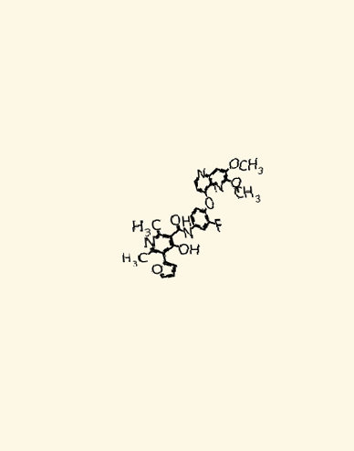 COc1cc2nccc(Oc3ccc(NC(=O)c4c(C)nc(C)c(-c5ccco5)c4O)cc3F)c2nc1OC